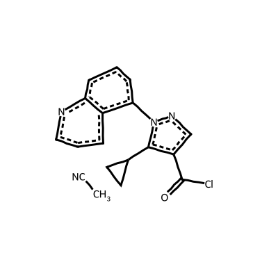 CC#N.O=C(Cl)c1cnn(-c2cccc3ncccc23)c1C1CC1